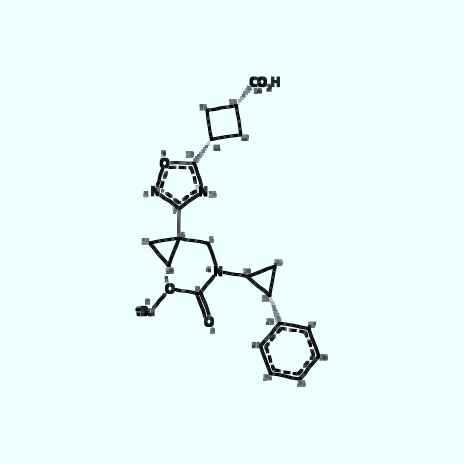 CC(C)(C)OC(=O)N(CC1(c2noc([C@H]3C[C@@H](C(=O)O)C3)n2)CC1)C1C[C@@H]1c1ccccc1